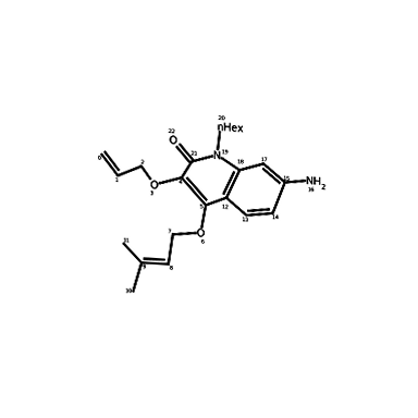 C=CCOc1c(OCC=C(C)C)c2ccc(N)cc2n(CCCCCC)c1=O